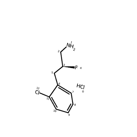 Cl.NC[C@@H](F)Cc1ccccc1Cl